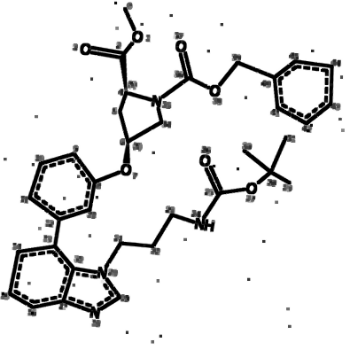 COC(=O)[C@@H]1C[C@H](Oc2cccc(-c3cccc4ncn(CCCNC(=O)OC(C)(C)C)c34)c2)CN1C(=O)OCc1ccccc1